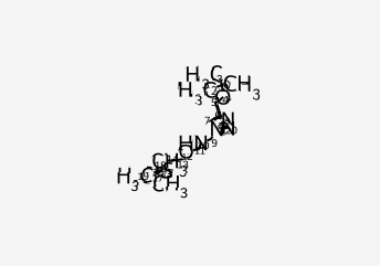 CC(C)(C)OCc1cn(CNCOCCSC(C)(C)C)nn1